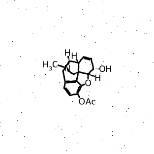 CC(=O)Oc1ccc2c3c1O[C@H]1[C@@H](O)C=C[C@H]4[C@@H](C2)N(C)CC[C@@]341